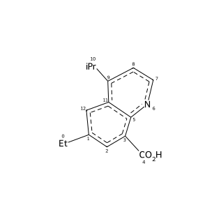 CCc1cc(C(=O)O)c2nccc(C(C)C)c2c1